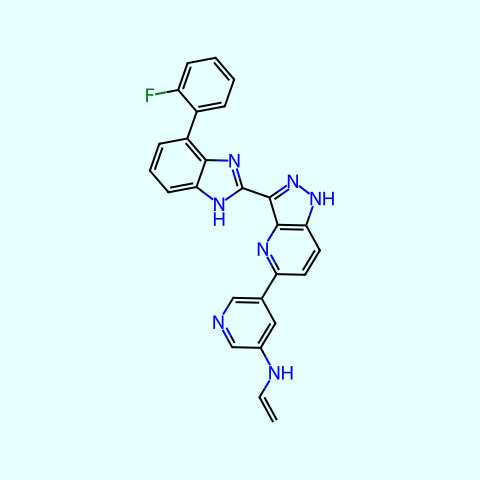 C=CNc1cncc(-c2ccc3[nH]nc(-c4nc5c(-c6ccccc6F)cccc5[nH]4)c3n2)c1